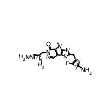 Cn1c2nc(Cc3nc(N)sc3F)sc2c2cnn(C/C(N)=C/NN)c(=O)c21